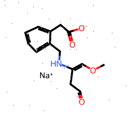 COC=C(CC=O)NCc1ccccc1CC(=O)[O-].[Na+]